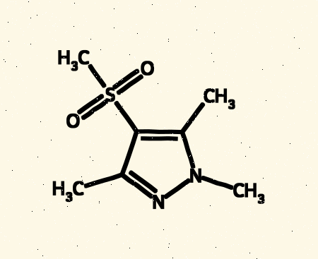 Cc1nn(C)c(C)c1S(C)(=O)=O